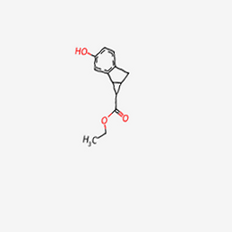 CCOC(=O)C1C2Cc3ccc(O)cc3C21